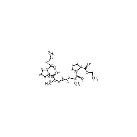 CCOC(=O)[C@@H]1CCCN1C(=O)[C@H](C)CSSC[C@@H](C)C(=O)N1CCC[C@H]1C(=O)OCC